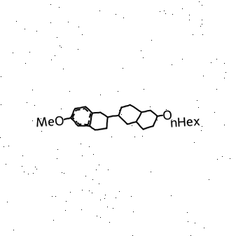 CCCCCCOC1CCC2CC(C3CCc4cc(OC)ccc4C3)CCC2C1